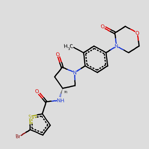 Cc1cc(N2CCOCC2=O)ccc1N1C[C@H](NC(=O)c2ccc(Br)s2)CC1=O